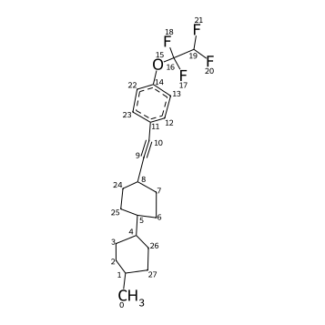 CC1CCC(C2CCC(C#Cc3ccc(OC(F)(F)C(F)F)cc3)CC2)CC1